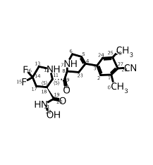 Cc1cc(C2=CCNC(C(=O)[C@H]3NCC(F)(F)C[C@@H]3C(=O)NO)C2)cc(C)c1C#N